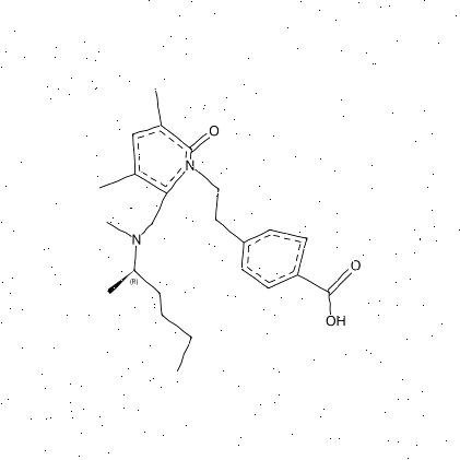 CCCC[C@@H](C)N(C)Cc1c(C)cc(C)c(=O)n1CCc1ccc(C(=O)O)cc1